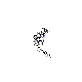 C=C(CC)/N=C\C(=C/CCC)C(=N)/C(Cl)=C(/NC(=O)C1CCCN(CCOC)C1)Nc1ccccc1